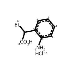 CCC(C(=O)O)c1ccccc1N.Cl